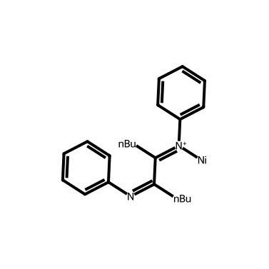 CCCCC(=Nc1ccccc1)C(CCCC)=[N+]([Ni])c1ccccc1